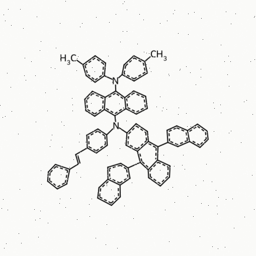 Cc1ccc(N(c2ccc(C)cc2)c2c3ccccc3c(N(c3ccc(/C=C/c4ccccc4)cc3)c3ccc4c(-c5ccc6ccccc6c5)c5ccccc5c(-c5ccc6ccccc6c5)c4c3)c3ccccc23)cc1